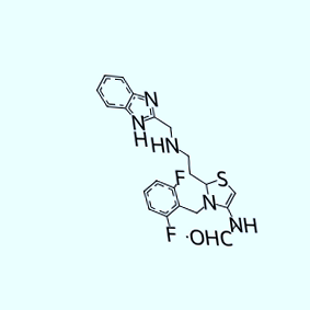 O=[C]NC1=CSC(CCNCc2nc3ccccc3[nH]2)N1Cc1c(F)cccc1F